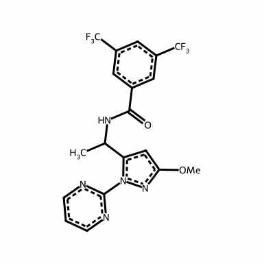 COc1cc(C(C)NC(=O)c2cc(C(F)(F)F)cc(C(F)(F)F)c2)n(-c2ncccn2)n1